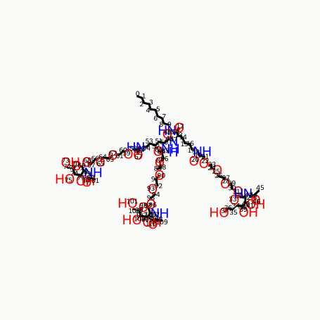 CCCCCCCCCCNC(=O)C(CCCCNC(=O)COCCOCCOCCO[C@@H]1O[C@H](CCO)[C@H](O)[C@H](O)[C@H]1NC(C)=O)NC(=O)C(CCCCNC(=O)COCCOCCOCCO[C@@H]1O[C@H](CO)[C@H](O)[C@H](O)[C@H]1NC(C)=O)NC(=O)COCCOCCOCCO[C@@H]1O[C@H](CO)[C@H](O)[C@H](O)[C@H]1NC(C)=O